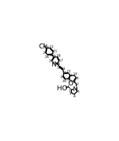 OC[C@@H]1CCCN1CC1=CCc2cc(C#Cc3ccc(-c4ccc(Cl)cc4)cn3)ccc2O1